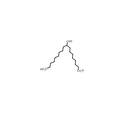 O=CC(CCCCCCCCC(=O)O)CCCCCCCC(=O)O